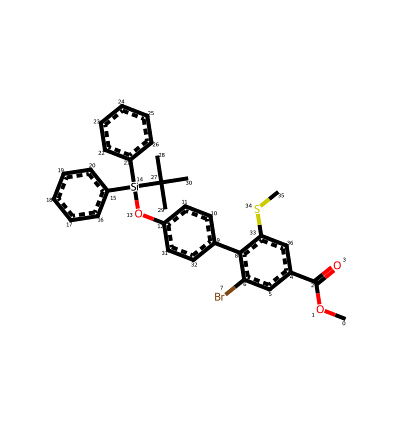 COC(=O)c1cc(Br)c(-c2ccc(O[Si](c3ccccc3)(c3ccccc3)C(C)(C)C)cc2)c(SC)c1